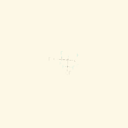 F[C](F)C(F)(C(F)(F)C(F)(F)F)C(F)(F)C(F)(F)F